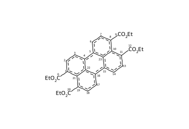 CCOC(=O)c1ccc2c3ccc(C(=O)OCC)c4c(C(=O)OCC)ccc(c5ccc(C(=O)OCC)c1c25)c43